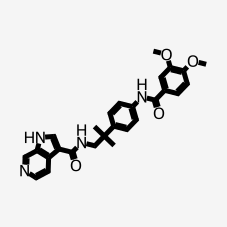 COc1ccc(C(=O)Nc2ccc(C(C)(C)CNC(=O)c3c[nH]c4cnccc34)cc2)cc1OC